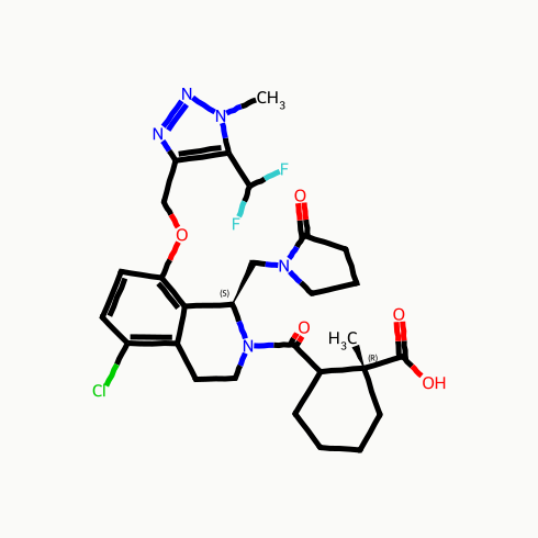 Cn1nnc(COc2ccc(Cl)c3c2[C@@H](CN2CCCC2=O)N(C(=O)C2CCCC[C@@]2(C)C(=O)O)CC3)c1C(F)F